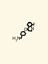 NCC1CCC(Oc2ccnc3c(F)cccc23)CC1